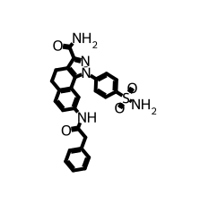 NC(=O)c1nn(-c2ccc(S(N)(=O)=O)cc2)c2c1CCc1ccc(NC(=O)Cc3ccccc3)cc1-2